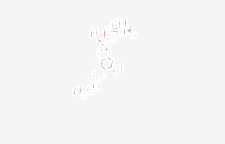 COC(=O)Cc1cc2c(cc1Cl)CN(C(=O)OC(C)(C)C)CC2